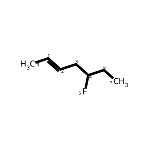 C/C=C/CC(F)CC